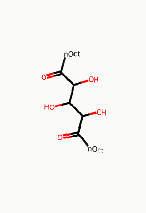 CCCCCCCCC(=O)C(O)C(O)C(O)C(=O)CCCCCCCC